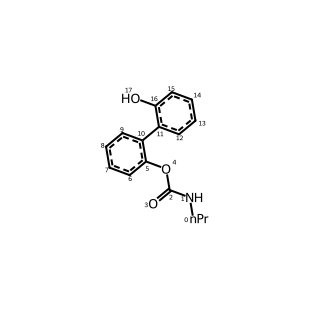 CCCNC(=O)Oc1ccccc1-c1ccccc1O